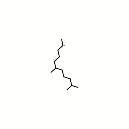 C[CH]CCCC(C)CCCC(C)C